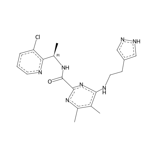 Cc1nc(C(=O)N[C@H](C)c2ncccc2Cl)nc(NCCc2cn[nH]c2)c1C